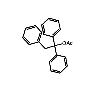 [CH2]C(=O)OC(Cc1ccccc1)(c1ccccc1)c1ccccc1